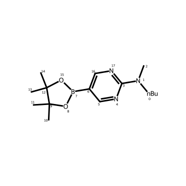 CCCCN(C)c1ncc(B2OC(C)(C)C(C)(C)O2)cn1